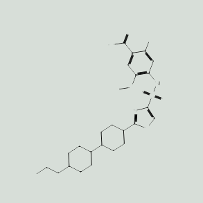 CCCC1CCC(C2CCC(c3nc(S(=O)(=O)Nc4cc(F)c(C(=O)O)cc4OC)cs3)CC2)CC1